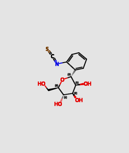 OC[C@H]1O[C@H](c2ccccc2N=C=S)[C@@H](O)[C@@H](O)[C@@H]1O